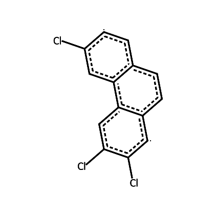 Clc1[c]cc2ccc3[c]c(Cl)c(Cl)cc3c2c1